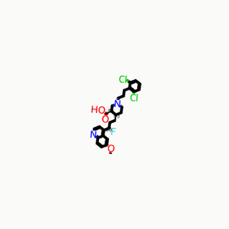 COc1ccc2nccc([C@@H](F)CC[C@@H]3CCN(CCCc4c(Cl)cccc4Cl)C[C@@H]3C(=O)O)c2c1